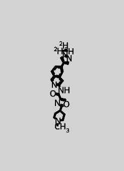 [2H]C([2H])([2H])n1cc(-c2ccc3cnc(NC(=O)c4coc(C5CCN(C)CC5)n4)cc3c2)cn1